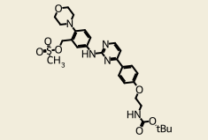 CC(C)(C)OC(=O)NCCOc1ccc(-c2ccnc(Nc3ccc(N4CCOCC4)c(COS(C)(=O)=O)c3)n2)cc1